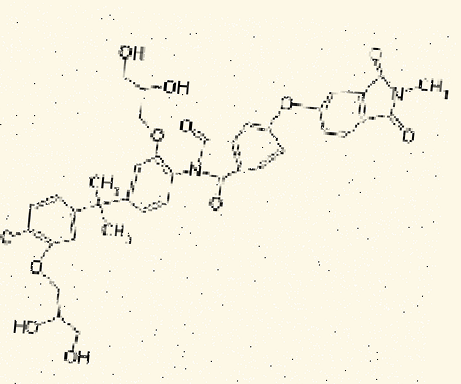 Cc1ccc(C(C)(C)c2ccc(N3C(=O)c4ccc(Oc5ccc6c(c5)C(=O)N(C)C6=O)cc4C3=O)c(OCC(O)CO)c2)cc1OCC(O)CO